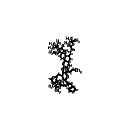 C=CCC(NC(=O)C(Cc1ccccc1)NC(=O)C(Cc1ccccc1)NC(=O)OC(C)(C)C)C(=O)NC(CCCCNC(=O)OC(C)(C)C)C(=O)N1CCC(NC(=O)OC(C)(C)C)(C(=O)OC)CC1